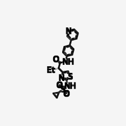 CC[C@H](C(=O)Nc1ccc(-c2cccnc2)cc1)c1csc(NS(=O)(=O)C2CC2)n1